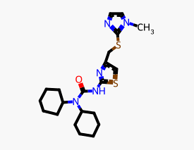 Cn1ccnc1SCc1csc(NC(=O)N(C2CCCCC2)C2CCCCC2)n1